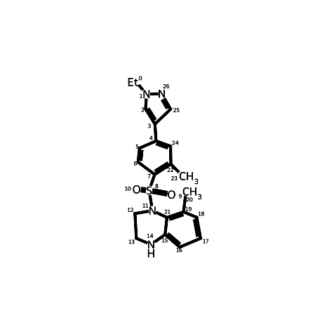 CCn1cc(-c2ccc(S(=O)(=O)N3CCNc4cccc(C)c43)c(C)c2)cn1